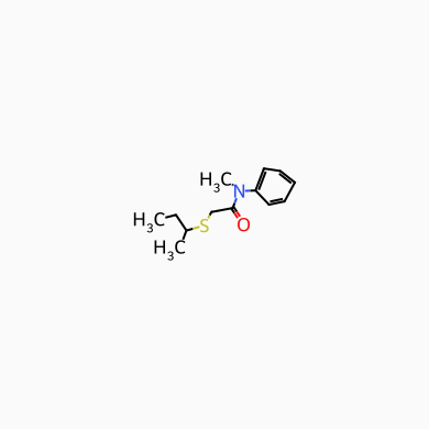 CCC(C)SCC(=O)N(C)c1ccccc1